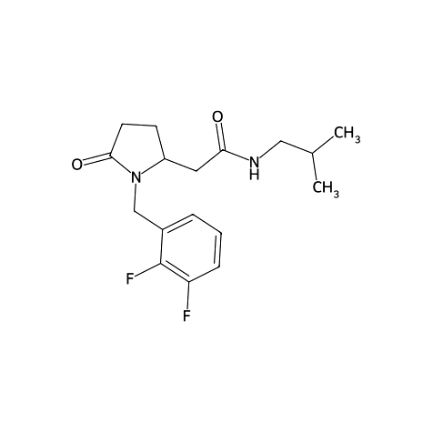 CC(C)CNC(=O)CC1CCC(=O)N1Cc1cccc(F)c1F